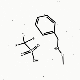 CONCc1ccccc1.O=S(=O)(O)C(F)(F)F